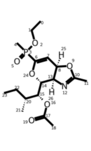 CCOP(C)(=O)C1=C[C@H]2OC(C)=N[C@H]2[C@H]([C@H](OC(C)=O)[C@H](C)CC)O1